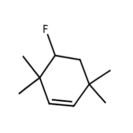 CC1(C)C=CC(C)(C)C(F)C1